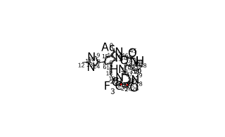 CC(=O)c1nn2c3c(cc(-c4cnc(C)nc4)cc13)CCCCCC(C)(C)C(=O)N(C)C[C@@]13C[C@@H](C(=O)Nc4cccc(C(F)(F)F)n4)N(C(=O)C2)[C@@H]1C3